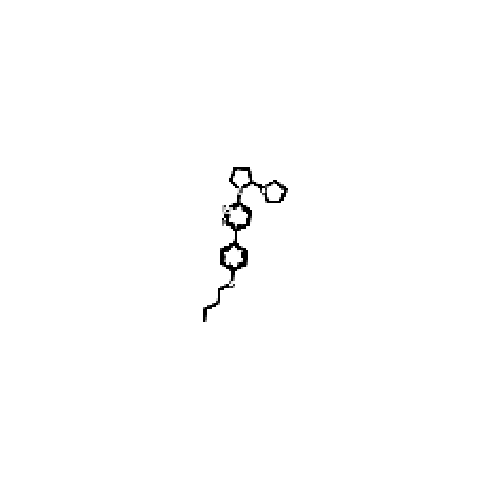 CCCCSc1ccc(-c2ccc(N3CCCC3N3CCCC3)nn2)cc1